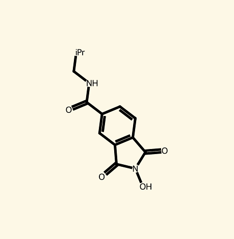 CC(C)CNC(=O)c1ccc2c(c1)C(=O)N(O)C2=O